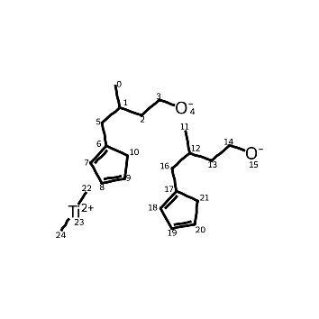 CC(CC[O-])CC1=CC=CC1.CC(CC[O-])CC1=CC=CC1.[CH3][Ti+2][CH3]